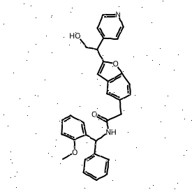 COc1ccccc1C(NC(=O)Cc1ccc2oc(C(CO)c3ccncc3)cc2c1)c1ccccc1